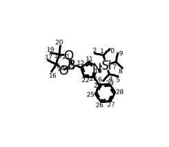 CC(C)[Si](C(C)C)(C(C)C)n1cc(B2OC(C)(C)C(C)(C)O2)cc1-c1ccccc1